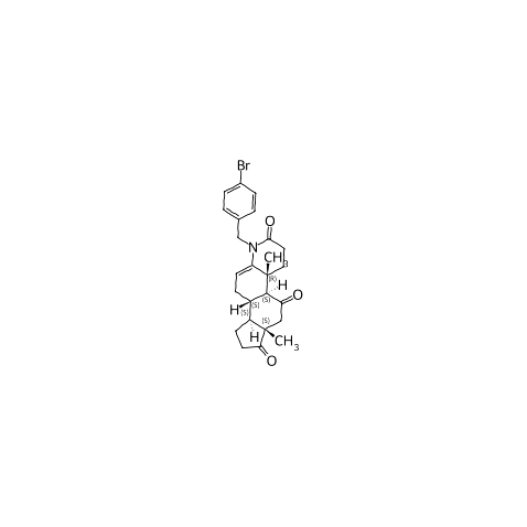 C[C@]12CCC(=O)N(Cc3ccc(Br)cc3)C1=CC[C@@H]1[C@@H]2C(=O)C[C@]2(C)C(=O)CC[C@@H]12